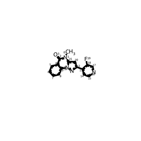 Cn1c(=O)c2ccccc2n2nc(-c3ccncc3F)cc12